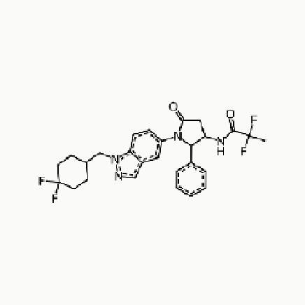 CC(F)(F)C(=O)NC1CC(=O)N(c2ccc3c(cnn3CC3CCC(F)(F)CC3)c2)C1c1ccccc1